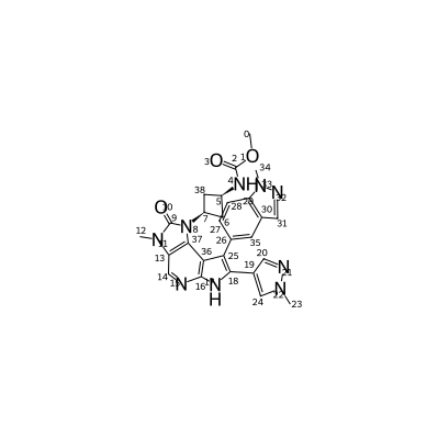 COC(=O)N[C@H]1C[C@@H](n2c(=O)n(C)c3cnc4[nH]c(-c5cnn(C)c5)c(-c5ccc6c(cnn6C)c5)c4c32)C1